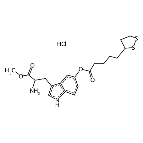 COC(=O)C(N)Cc1c[nH]c2ccc(OC(=O)CCCCC3CCSS3)cc12.Cl